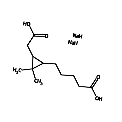 CC1(C)C(CCCCC(=O)O)C1CC(=O)O.[NaH].[NaH]